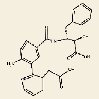 Cc1ccc(C(=O)N[C@H](Cc2ccccc2)[C@@H](O)C(=O)O)cc1-c1ccccc1CC(=O)O